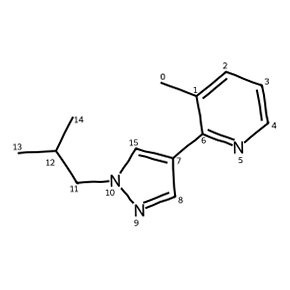 Cc1cccnc1-c1cnn(CC(C)C)c1